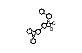 O=C1C(=O)N(c2cccc(-c3ccccc3)c2)c2ccc(-c3ccc4c(c3)c3ccccc3n4-c3ccccc3)cc21